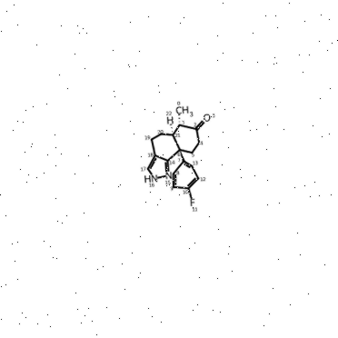 C[C@@H]1C(=O)CC[C@]2(c3ccc(F)cc3)c3n[nH]cc3CC[C@@H]12